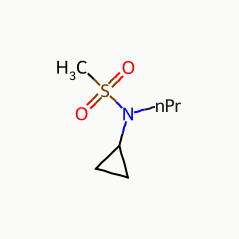 CCCN(C1CC1)S(C)(=O)=O